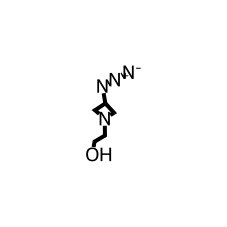 [N-]=[N+]=NC1CN(CCO)C1